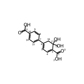 O=C(O)C1=CC=C(c2ccc(C(=O)O)cc2)CC1(O)O